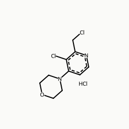 Cl.ClCc1nccc(N2CCOCC2)c1Cl